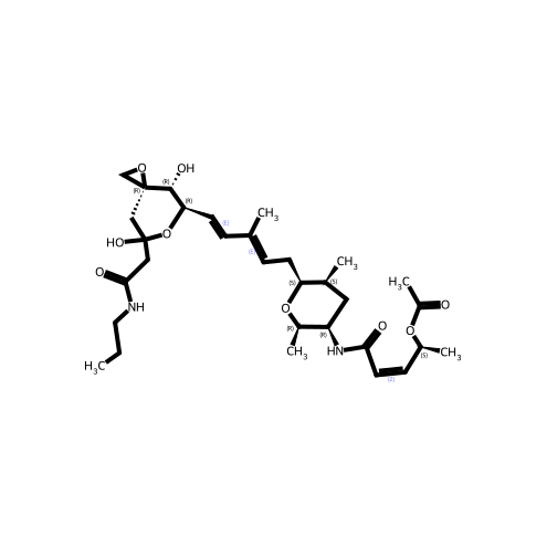 CCCNC(=O)CC1(O)C[C@@]2(CO2)[C@H](O)[C@@H](/C=C/C(C)=C/C[C@@H]2O[C@H](C)[C@H](NC(=O)/C=C\[C@H](C)OC(C)=O)C[C@@H]2C)O1